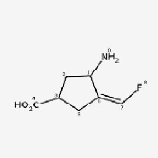 NC1CC(C(=O)O)C/C1=C/F